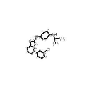 C=C(C)Nc1ccc(Nc2nc3cccc(-c4cccc(Cl)c4)n3n2)cc1